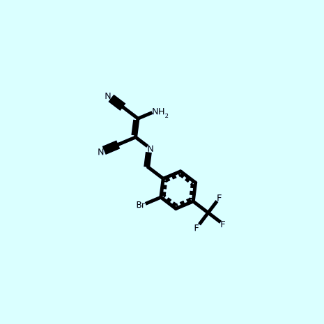 N#CC(N)=C(C#N)N=Cc1ccc(C(F)(F)F)cc1Br